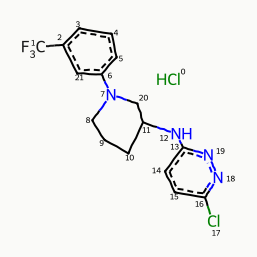 Cl.FC(F)(F)c1cccc(N2CCCC(Nc3ccc(Cl)nn3)C2)c1